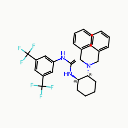 C=C(Nc1cc(C(F)(F)F)cc(C(F)(F)F)c1)N[C@@H]1CCCC[C@H]1N(Cc1ccccc1)Cc1ccccc1